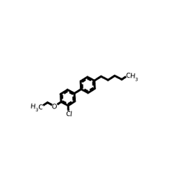 CCCCCc1ccc(-c2ccc(OCC)c(Cl)c2)cc1